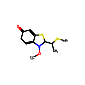 CCCSC(C)C1SC2=CC(=O)CC=C2N1OC(F)(F)F